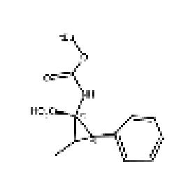 CC1[C@H](c2ccccc2)[C@]1(NC(=O)OC(C)(C)C)C(=O)O